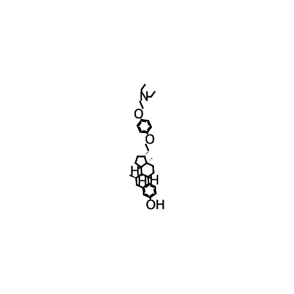 CCN(CC)CCOc1ccc(OCC[C@H]2CC[C@H]3[C@@H]4[C@H](C)Cc5cc(O)ccc5[C@H]4CC[C@]23C)cc1